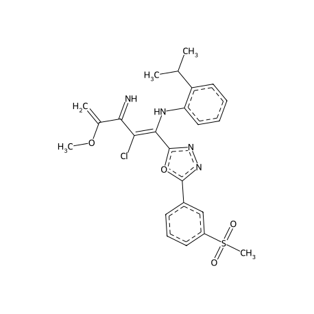 C=C(OC)C(=N)/C(Cl)=C(\Nc1ccccc1C(C)C)c1nnc(-c2cccc(S(C)(=O)=O)c2)o1